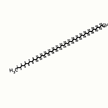 CCCCCCCCCCCCCCCCCCCCCCCCCCCCCCCCCCCCCCCCCCCCC